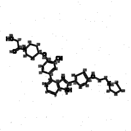 N#Cc1cc(-c2nccc3[nH]c(-c4ccc(OCCN5CCCC5)cc4)nc23)ccc1OC1CCN(C(=O)CO)CC1